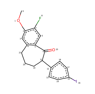 COc1cc2c(cc1F)C(=O)C(c1ccc(I)cc1)CCC2